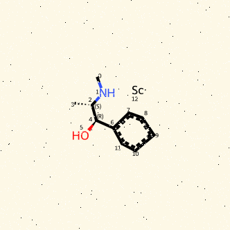 CN[C@@H](C)[C@H](O)c1ccccc1.[Sc]